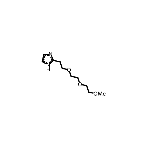 COCCOCCOCCc1ncc[nH]1